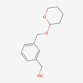 OCc1cccc(COC2CCCCO2)c1